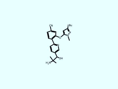 CCCCc1cc(Oc2cc(C#N)ccc2-c2ccc(C(O)C(C)(C)N)cn2)n(C)n1